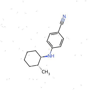 C[C@@H]1CCCC[C@H]1Nc1ccc(C#N)cc1